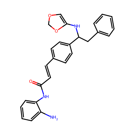 Nc1ccccc1NC(=O)C=Cc1ccc(C(Cc2ccccc2)NC2=COCO2)cc1